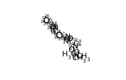 CC(C)(C)OC(=O)N1CCC[C@H]1Cc1nc(-c2ccc(Cn3cc(-c4ccccc4)nn3)cc2)no1